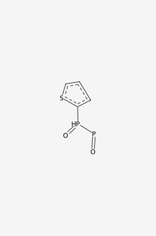 O=P[PH](=O)c1cccs1